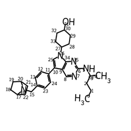 CCC[C@H](C)Nc1ncc2c(-c3ccc(CN4C5CCC4CC5)cc3)cn(C3CCC(O)CC3)c2n1